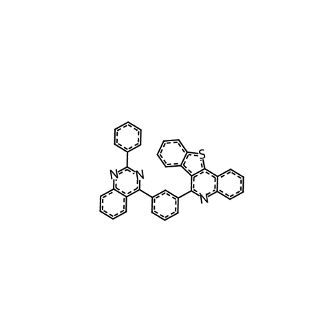 c1ccc(-c2nc(-c3cccc(-c4nc5ccccc5c5sc6ccccc6c45)c3)c3ccccc3n2)cc1